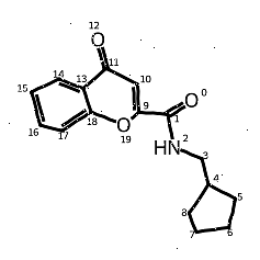 O=C(NCC1CCCC1)c1cc(=O)c2ccccc2o1